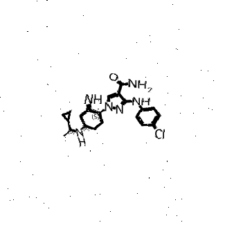 C[C@H](N[C@@H]1CC[C@H](n2cc(C(N)=O)c(Nc3ccc(Cl)cc3)n2)C(=N)C1)C1CC1